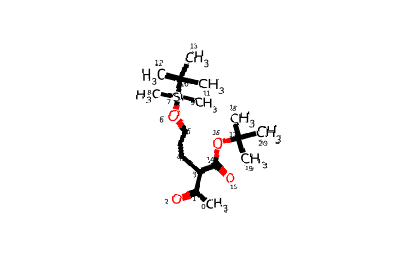 CC(=O)C(CCO[Si](C)(C)C(C)(C)C)C(=O)OC(C)(C)C